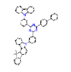 CC1(C)c2ccccc2-c2ccc3c(c21)c1ccccc1n3-c1cccc(-c2nc(-c3ccc(-c4ccccc4)cc3)nc(-c3cccc(-n4c5ccccc5c5ccccc54)c3)n2)c1